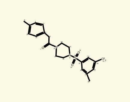 Cc1ccc(CC(=O)N2CCN(S(=O)(=O)c3cc(C)cc(C(F)(F)F)c3)CC2)cc1